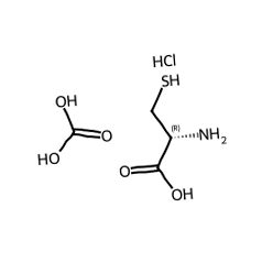 Cl.N[C@@H](CS)C(=O)O.O=C(O)O